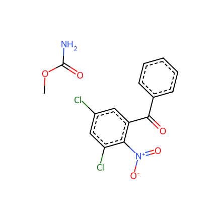 COC(N)=O.O=C(c1ccccc1)c1cc(Cl)cc(Cl)c1[N+](=O)[O-]